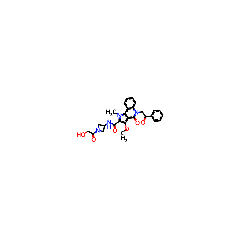 COc1c(C(=O)NC2CN(C(=O)CO)C2)n(C)c2c1c(=O)n(CC(=O)c1ccccc1)c1ccccc21